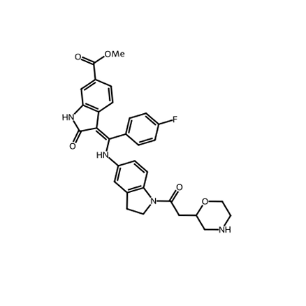 COC(=O)c1ccc2c(c1)NC(=O)/C2=C(\Nc1ccc2c(c1)CCN2C(=O)CC1CNCCO1)c1ccc(F)cc1